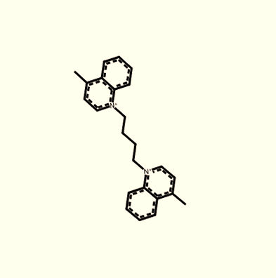 Cc1cc[n+](CCCC[n+]2ccc(C)c3ccccc32)c2ccccc12